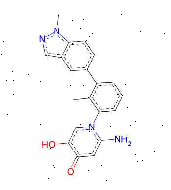 Cc1c(-c2ccc3c(cnn3C)c2)cccc1-n1cc(O)c(=O)cc1N